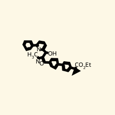 CCOC(=O)C1(c2ccc(-c3ccc(-c4onc(C)c4C(O)c4cccc(-c5ccccc5)n4)cc3)cc2)CC1